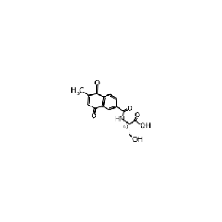 CC1=CC(=O)c2cc(C(=O)N[C@@H](CO)C(=O)O)ccc2C1=O